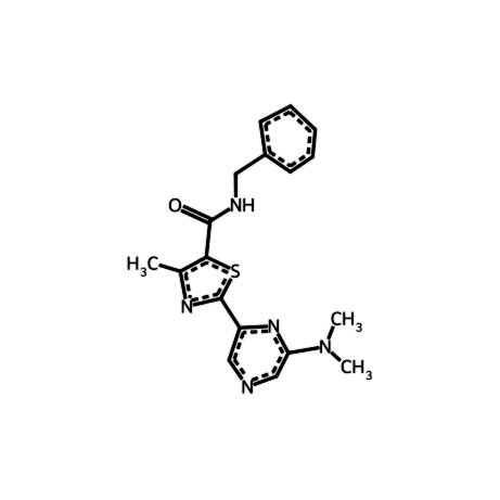 Cc1nc(-c2cncc(N(C)C)n2)sc1C(=O)NCc1ccccc1